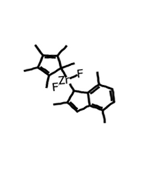 CC1=Cc2c(C)ccc(C)c2[CH]1[Zr]([F])([F])[C]1(C)C(C)=C(C)C(C)=C1C